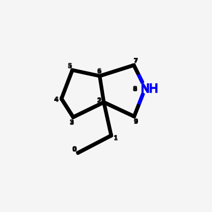 CCC12CCCC1CNC2